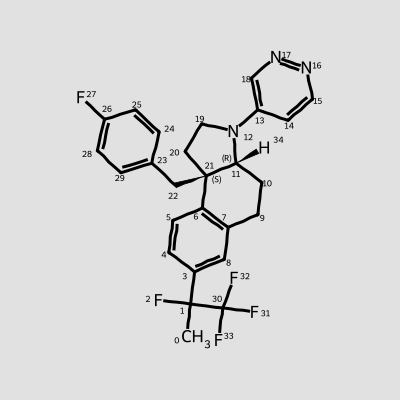 CC(F)(c1ccc2c(c1)CC[C@H]1N(c3ccnnc3)CC[C@@]21Cc1ccc(F)cc1)C(F)(F)F